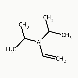 C=[CH][Al]([CH](C)C)[CH](C)C